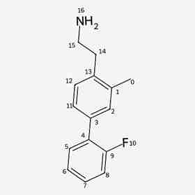 Cc1cc(-c2ccccc2F)ccc1CCN